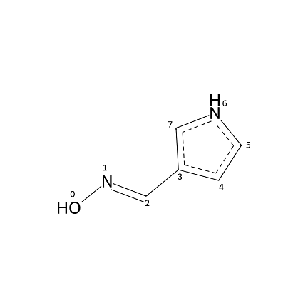 ON=Cc1cc[nH]c1